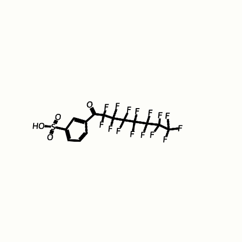 O=C(c1cccc(S(=O)(=O)O)c1)C(F)(F)C(F)(F)C(F)(F)C(F)(F)C(F)(F)C(F)(F)C(F)(F)F